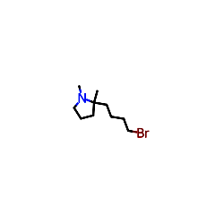 CN1CCCC1(C)CCCCBr